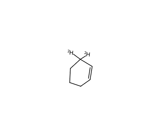 [2H]C1([2H])C=CCCC1